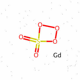 O=S1(=O)OOO1.[Gd]